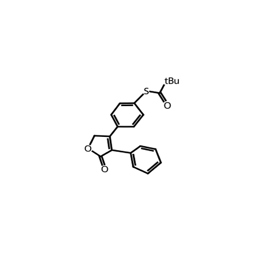 CC(C)(C)C(=O)Sc1ccc(C2=C(c3ccccc3)C(=O)OC2)cc1